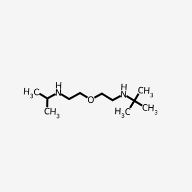 CC(C)NCCOCCNC(C)(C)C